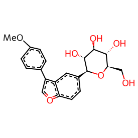 COc1ccc(-c2coc3ccc([C@@H]4O[C@H](CO)[C@@H](O)[C@H](O)[C@H]4O)cc23)cc1